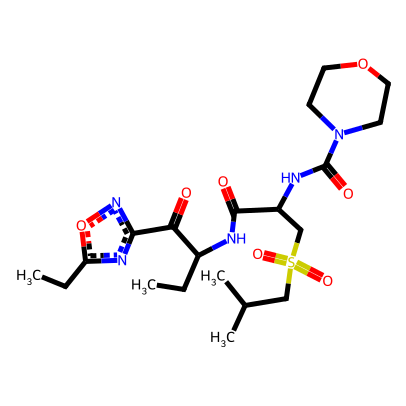 CCc1nc(C(=O)C(CC)NC(=O)C(CS(=O)(=O)CC(C)C)NC(=O)N2CCOCC2)no1